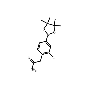 CC1(C)OB(c2ccc(CC(N)=O)c(Cl)c2)OC1(C)C